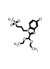 CCOC(OCC)c1nc2cc(Cl)ccc2n1CCCS(C)(=O)=O